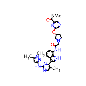 CNC(=O)c1cncc(OC2CCN(CC(=O)Nc3cccc4c(-c5nc(Nc6cc(C)n(C)n6)ncc5C)c[nH]c34)C2)n1